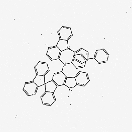 c1ccc(-c2ccc(N(c3cc4c(c5oc6ccccc6c35)-c3ccccc3C43c4ccccc4-c4ccccc43)c3cccc4c5ccccc5n(-c5ccccc5)c34)cc2)cc1